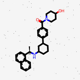 C[C@@H](NC1CCCC(c2ccc(C(=O)N3CCC(O)CC3)cc2)C1)c1cccc2ccccc12